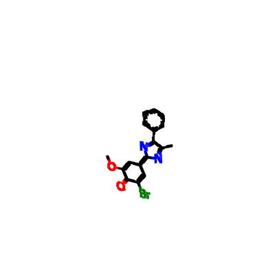 COC1=C/C(=C2/N=C(C)C(c3ccccc3)=N2)C=C(Br)C1=O